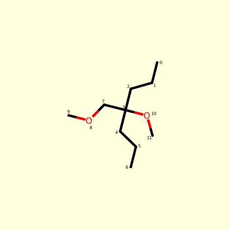 CCCC(CCC)(COC)OC